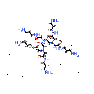 NCCCNC(=O)CN(CCN(CC(=O)NCCCN)CC(=O)NCCCN)CCN(CC(=O)NCCCN)CC(=O)NCCCN